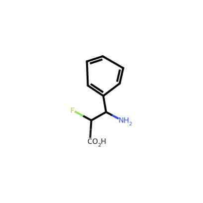 NC(c1ccccc1)C(F)C(=O)O